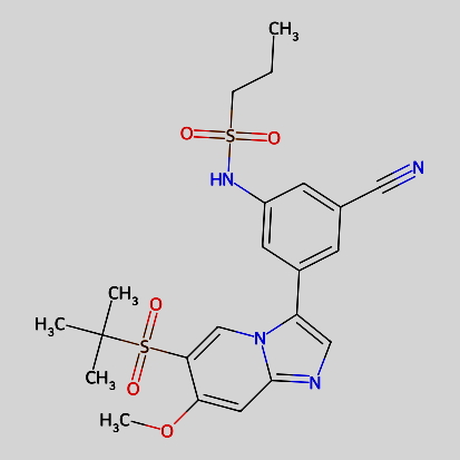 CCCS(=O)(=O)Nc1cc(C#N)cc(-c2cnc3cc(OC)c(S(=O)(=O)C(C)(C)C)cn23)c1